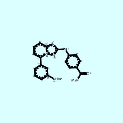 CNC(=O)c1ccc(Nc2nc3cccc(-c4cccc(NC(C)=O)c4)n3n2)cc1